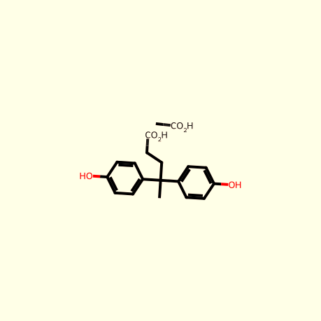 CC(=O)O.CC(CCC(=O)O)(c1ccc(O)cc1)c1ccc(O)cc1